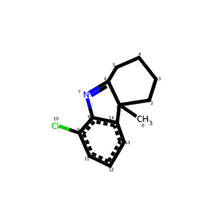 CC12CCCCC1=Nc1c(Cl)cccc12